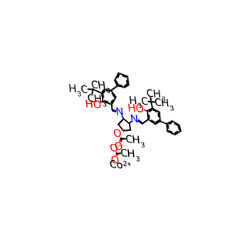 CC(=O)[O-].CC(=O)[O-].CC(C)(C)c1cc(-c2ccccc2)cc(C=NC2CCCC2N=Cc2cc(-c3ccccc3)cc(C(C)(C)C)c2O)c1O.[Co+2]